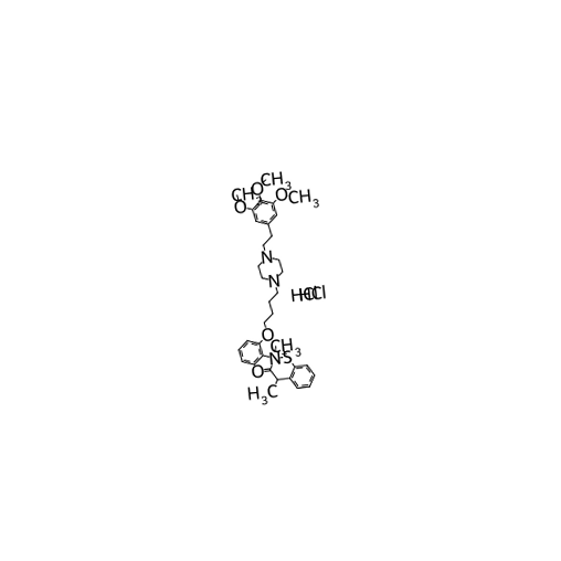 COc1cc(CCN2CCN(CCCCOc3ccccc3[N+]3(C)Sc4ccccc4C(C)C3=O)CC2)cc(OC)c1OC.Cl.Cl